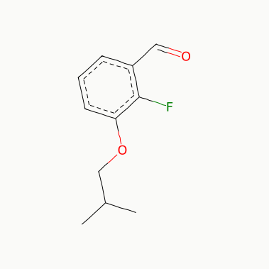 CC(C)COc1cccc(C=O)c1F